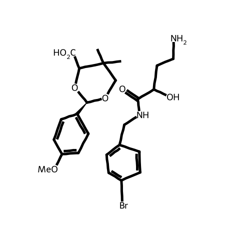 COc1ccc([C@@H]2OCC(C)(C)C(C(=O)O)O2)cc1.NCCC(O)C(=O)NCc1ccc(Br)cc1